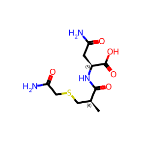 C[C@@H](CSCC(N)=O)C(=O)N[C@@H](CC(N)=O)C(=O)O